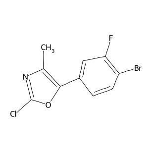 Cc1nc(Cl)oc1-c1ccc(Br)c(F)c1